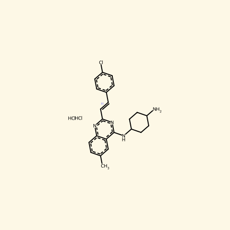 Cc1ccc2nc(/C=C/c3ccc(Cl)cc3)nc(NC3CCC(N)CC3)c2c1.Cl.Cl